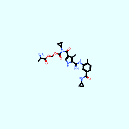 Cc1ccc(C(=O)NC2CC2)cc1NC(=N)c1[nH]cc(C(=O)N(C(=O)OCOC(=O)C(C)N)C2CC2)c1C